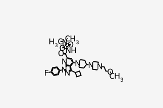 COCCN1CCN(C2CCN(c3cc(C(=O)NS(=O)(=O)N(C)C)nc4c3c(C3CCC3)nn4-c3ccc(F)cc3)CC2)CC1